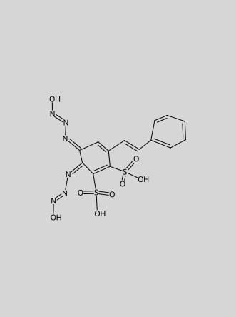 O=S(=O)(O)C1=C(S(=O)(=O)O)C(=NN=NO)C(=NN=NO)C=C1C=Cc1ccccc1